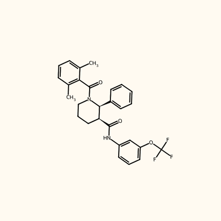 Cc1cccc(C)c1C(=O)N1CCC[C@H](C(=O)Nc2cccc(OC(F)(F)F)c2)[C@@H]1c1ccccc1